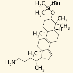 C[C@H](CCCN)[C@H]1CC=C2C3=C(CC[C@@]21C)[C@@]1(C)CCC(O[Si](C)(C)C(C)(C)C)C(C)(C)[C@@H]1CC3